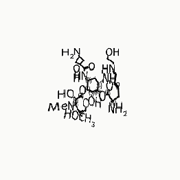 CN[C@@H]1[C@@H](O)[C@@H](O[C@@H]2[C@@H](O)[C@H](O[C@H]3OC(CNCCO)=CC[C@H]3N)[C@@H](N)C[C@H]2NC(=O)C2(O)CC(N)C2)OC[C@]1(C)O